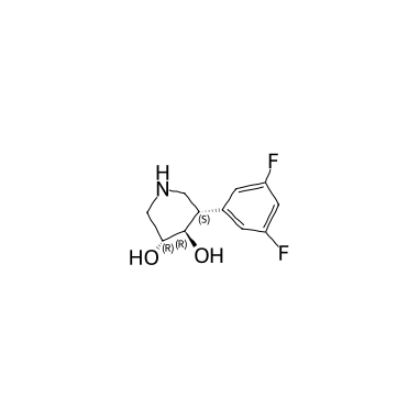 O[C@H]1[C@H](O)CNC[C@@H]1c1cc(F)cc(F)c1